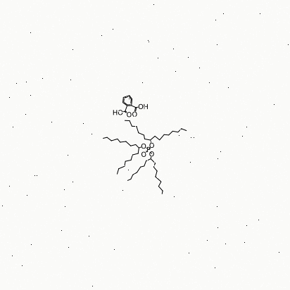 CCCCCCCCC(CCCCCCC)OP(=O)(OC(CCCCCCC)CCCCCCCC)OC(CCCCCCC)CCCCCCCC.O=C(O)c1ccccc1C(=O)O